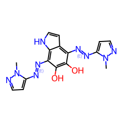 Cn1nccc1/N=N/c1c(O)c(O)c(/N=N/c2ccnn2C)c2[nH]ccc12